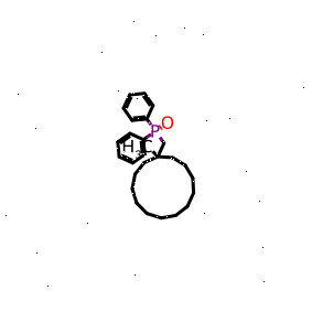 CC1(CP(=O)(c2ccccc2)c2ccccc2)CCCCCCCCCCCC1